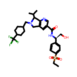 CCS(=O)(=O)c1ccc([C@H](CO)NC(=O)c2cnc3c(c2)CN(CC2CCC(C(F)(F)F)CC2)C3C(C)C)cc1